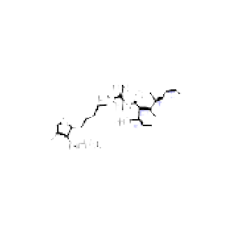 C\C=C/C=C(C)/C(C)=C(C(=O)NC(=N)NCCCCC[C@@H]1SC[C@H](C)[C@@H]1NC(C)=O)/C(O)=C\C